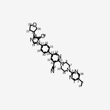 CCc1cnc(N2CCN(c3ncc(-c4ccc(-n5cnn(C6CCOC6)c5=O)cc4)cc3C#N)CC2)nc1